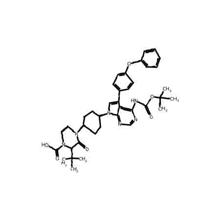 CC(C)(C)OC(=O)Nc1ncnc2c1c(-c1ccc(Oc3ccccc3)cc1)cn2C1CCC(N2CCN(C(=O)O)C(C(C)(C)C)C2=O)CC1